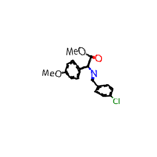 COC(=O)C(N=Cc1ccc(Cl)cc1)c1ccc(OC)cc1